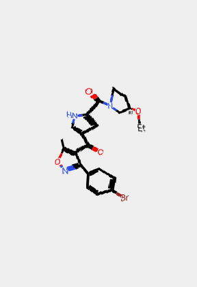 CCO[C@@H]1CCN(C(=O)c2cc(C(=O)c3c(-c4ccc(Br)cc4)noc3C)c[nH]2)C1